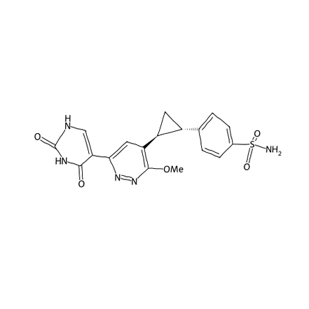 COc1nnc(-c2c[nH]c(=O)[nH]c2=O)cc1[C@H]1C[C@@H]1c1ccc(S(N)(=O)=O)cc1